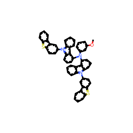 COc1cccc(N(c2cccc3c2c2ccccc2n3-c2ccc3sc4ccccc4c3c2)c2cccc3c2c2ccccc2n3-c2ccc3sc4ccccc4c3c2)c1